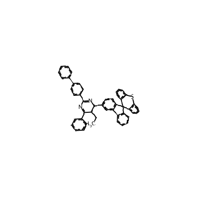 CCC1C(c2ccccc2)=NC(c2ccc(-c3ccccc3)cc2)=NC1c1ccc2c(c1)-c1ccccc1C21c2ccccc2Sc2ccccc21